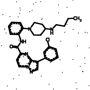 CCCCNC1CCN(c2ccccc2NC(=O)c2ccn3ncc(-c4cccc(Cl)c4)c3n2)CC1